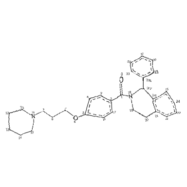 O=C(c1ccc(OCCCN2CCCCC2)cc1)N1CCc2ccccc2C1c1ccccc1